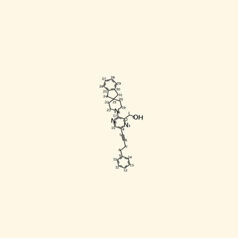 OCc1nc(C#CCCc2ccccc2)cnc1N1CCC2(CC1)Cc1ccccc1C2